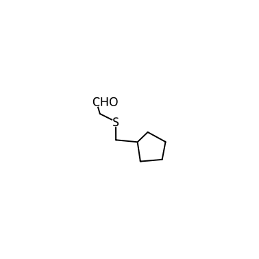 O=CCSCC1CCCC1